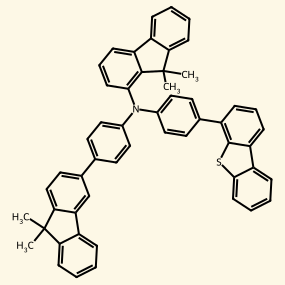 CC1(C)c2ccccc2-c2cc(-c3ccc(N(c4ccc(-c5cccc6c5sc5ccccc56)cc4)c4cccc5c4C(C)(C)c4ccccc4-5)cc3)ccc21